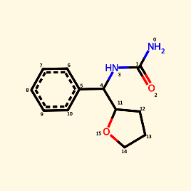 NC(=O)NC(c1ccccc1)C1CCCO1